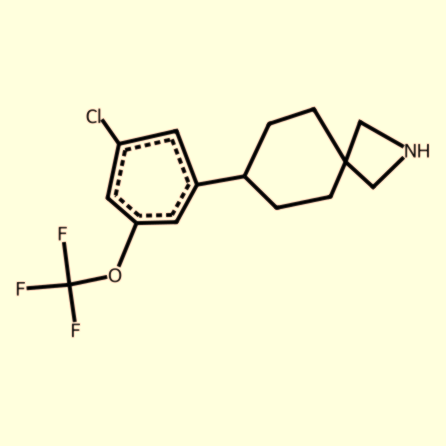 FC(F)(F)Oc1cc(Cl)cc(C2CCC3(CC2)CNC3)c1